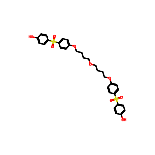 O=S(=O)(c1ccc(O)cc1)c1ccc(OCCCCOCCCCOc2ccc(S(=O)(=O)c3ccc(O)cc3)cc2)cc1